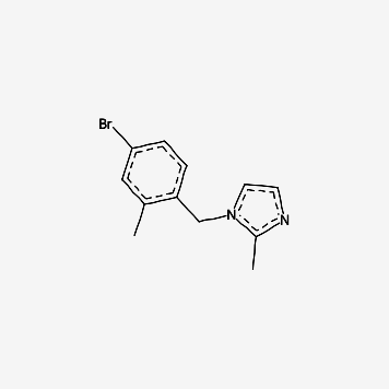 Cc1cc(Br)ccc1Cn1ccnc1C